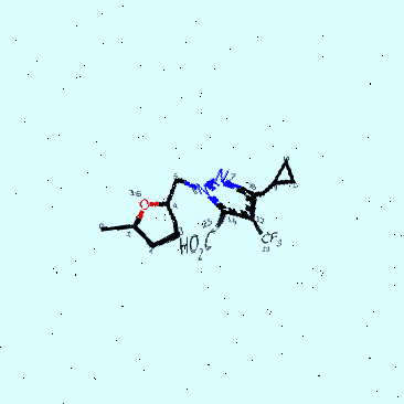 CC1CCC(Cn2nc(C3CC3)c(C(F)(F)F)c2C(=O)O)O1